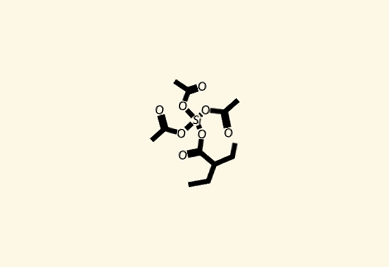 CCC(CC)C(=O)O[Si](OC(C)=O)(OC(C)=O)OC(C)=O